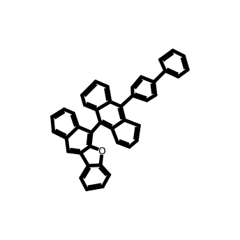 c1ccc(-c2ccc(-c3c4ccccc4c(-c4c5ccccc5cc5c4oc4ccccc45)c4ccccc34)cc2)cc1